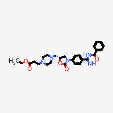 CCOC(=O)CCN1CCN(C[C@@H]2CN(c3ccc(C(=N)NC(=O)c4ccccc4)cc3)C(=O)O2)CC1